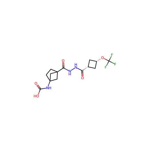 O=C(O)NC12CCC(C(=O)NNC(=O)[C@H]3C[C@@H](OC(F)(F)F)C3)(C1)C2